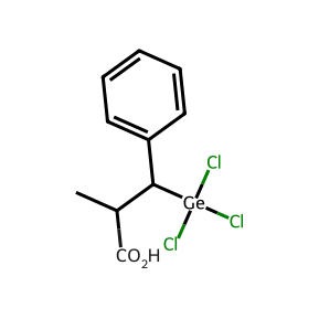 CC(C(=O)O)[CH](c1ccccc1)[Ge]([Cl])([Cl])[Cl]